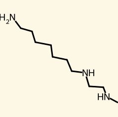 CNCCNCCCCCCCN